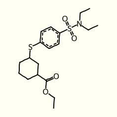 CCOC(=O)C1CCCC(Sc2ccc(S(=O)(=O)N(CC)CC)cc2)C1